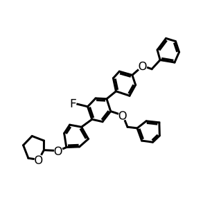 Fc1cc(-c2ccc(OCc3ccccc3)cc2)c(OCc2ccccc2)cc1-c1ccc(OC2CCCCO2)cc1